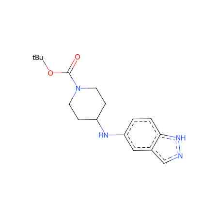 CC(C)(C)OC(=O)N1CCC(Nc2ccc3[nH]ncc3c2)CC1